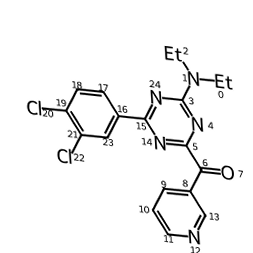 CCN(CC)c1nc(C(=O)c2cccnc2)nc(-c2ccc(Cl)c(Cl)c2)n1